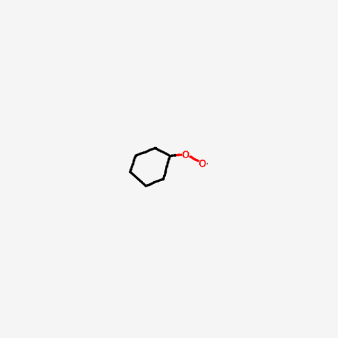 [O]OC1CCCCC1